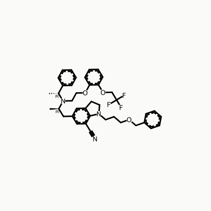 C[C@H](Cc1cc(C#N)c2c(c1)CCN2CCCOCc1ccccc1)N(CCOc1ccccc1OCC(F)(F)F)[C@H](C)c1ccccc1